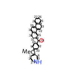 C1=CC=CNC=C1.COc1ccc(C(=O)C2C=c3c(ccc4c3=CCc3ccccc3-4)CC2)cc1